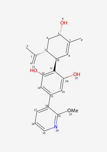 C=C(C)[C@@H]1C[C@H](O)C(C)=C[C@H]1c1c(O)cc(-c2cccnc2OC)cc1O